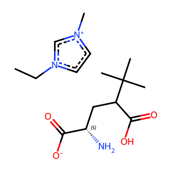 CC(C)(C)C(C[C@H](N)C(=O)[O-])C(=O)O.CCn1cc[n+](C)c1